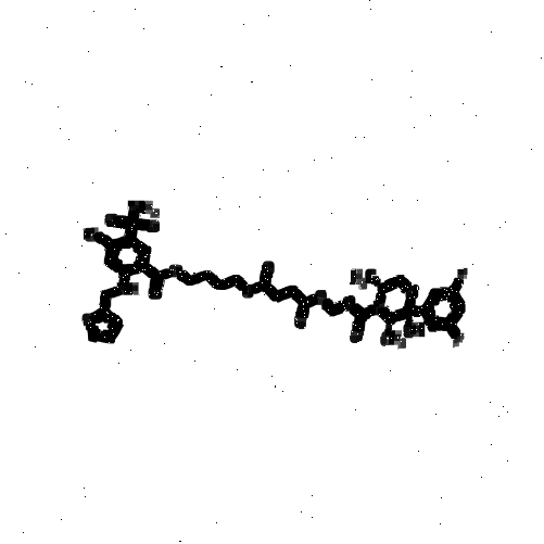 C[C@@H]1CO[C@@](O)(c2cc(F)cc(F)c2)[C@H](C)N1C(=O)OCOC(=O)CCC(=O)OCCCCOC(=O)c1cc(S(N)(=O)=O)c(Cl)cc1NCc1ccco1